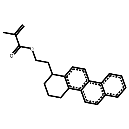 C=C(C)C(=O)OCCC1CCCc2c1ccc1c2ccc2ccccc21